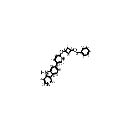 c1ccc(COC2CC(Oc3ccc(-c4ccc5c(c4)[nH]c4ccncc45)cn3)C2)cc1